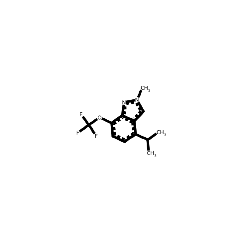 CC(C)c1ccc(OC(F)(F)F)c2nn(C)cc12